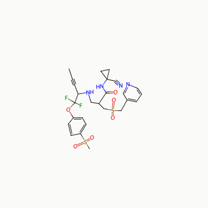 CC#CC(NCC(CS(=O)(=O)Cc1cccnc1)C(=O)NC1(C#N)CC1)C(F)(F)Oc1ccc(S(C)(=O)=O)cc1